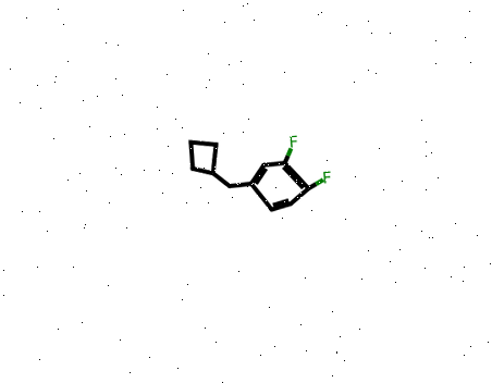 Fc1ccc(CC2CCC2)cc1F